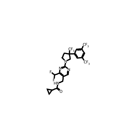 O=C(NCc1cnc(N2CCC(c3cc(C(F)(F)F)cc(C(F)(F)F)c3)(C(F)(F)F)C2)nc1C(F)F)C1CC1